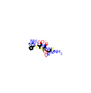 CO/N=C(\C(=O)NC1C(=O)N2C(C(=O)[O-])=C(CSc3nc(N)[n+](C)c4c3CCC4)CS[C@@H]12)c1csc(N)n1